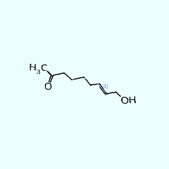 CC(=O)CCCC/C=C/CO